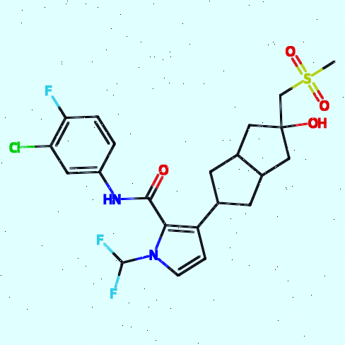 CS(=O)(=O)CC1(O)CC2CC(c3ccn(C(F)F)c3C(=O)Nc3ccc(F)c(Cl)c3)CC2C1